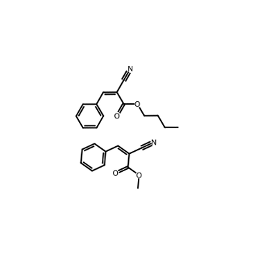 CCCCOC(=O)C(C#N)=Cc1ccccc1.COC(=O)C(C#N)=Cc1ccccc1